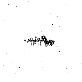 CC[C@@]1(O)C(=O)OCc2c1cc1n(c2=O)Cc2c-1nc1ccccc1c2CCNC(=O)CNC(=O)CNC(=O)CN